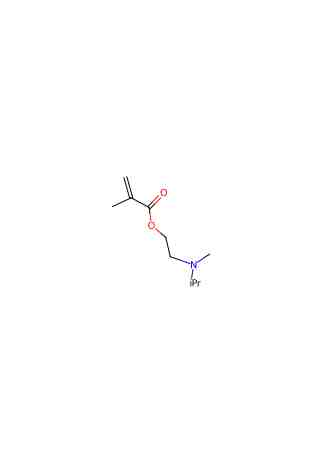 C=C(C)C(=O)OCCN(C)C(C)C